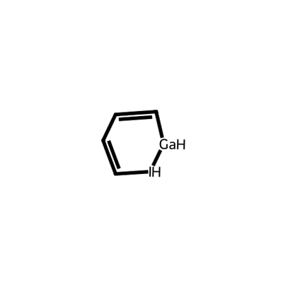 C1=[CH][GaH][IH]C=C1